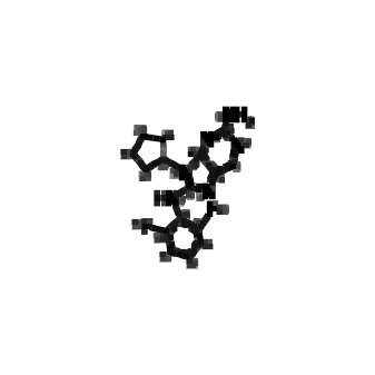 Nc1ncc2nc(Nc3c(F)cccc3F)n(C3CCCC3)c2n1